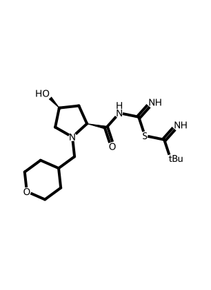 CC(C)(C)C(=N)SC(=N)NC(=O)[C@@H]1C[C@H](O)CN1CC1CCOCC1